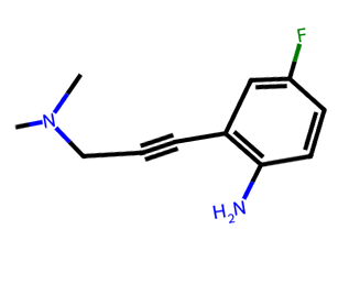 CN(C)CC#Cc1cc(F)ccc1N